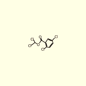 O=C(OC(Cl)Cl)c1cc(Cl)ccc1Cl